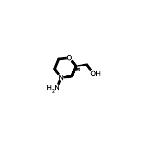 NN1CCO[C@@H](CO)C1